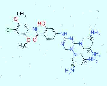 COc1cc(NC(=O)c2ccc(NC3=NCN(N4C[C@H](N)C[C@H](N)C4)C(N4C[C@H](N)C[C@H](N)C4)=N3)cc2O)c(OC)cc1Cl